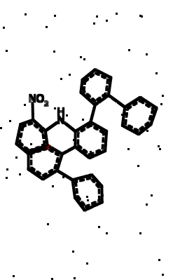 O=[N+]([O-])c1ccccc1Nc1c(-c2ccccc2-c2ccccc2)cccc1-c1ccccc1-c1ccccc1